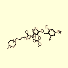 COC(=O)Oc1c(OCc2c(F)cc(Br)cc2F)nsc1NC(=O)NCCCN1CCN(C)CC1